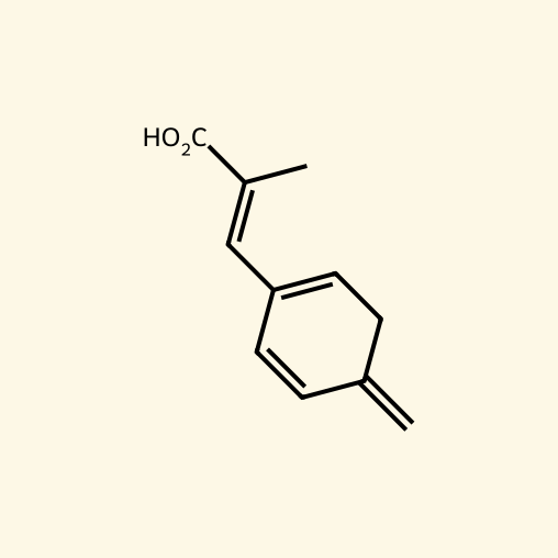 C=C1C=CC(C=C(C)C(=O)O)=CC1